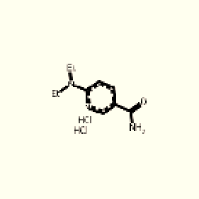 CCN(CC)c1ccc(C(N)=O)cn1.Cl.Cl